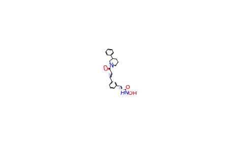 O=C(/C=C/c1cccc(/C=C/C(=O)N2CCCC(c3ccccc3)C2)c1)NO